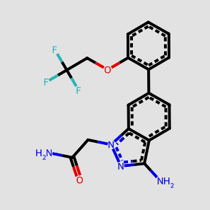 NC(=O)Cn1nc(N)c2ccc(-c3ccccc3OCC(F)(F)F)cc21